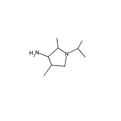 CC1CN(C(C)C)C(C)C1N